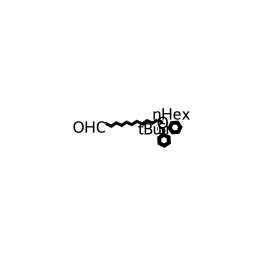 CCCCCCC(CC=CCCCCCCCC=O)O[Si](c1ccccc1)(c1ccccc1)C(C)(C)C